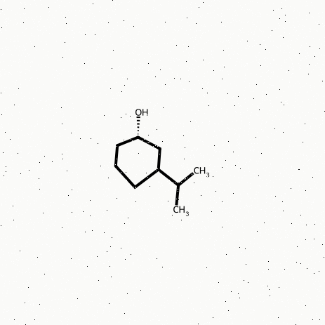 CC(C)C1CCC[C@H](O)C1